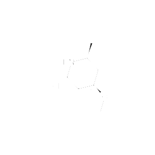 CO[C@H]1CCN[C@@H](C)C1.Cl